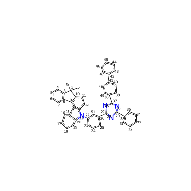 CC1(C)c2ccccc2-c2c1ccc1c2c2ccccc2n1-c1cccc(-c2nc(-c3ccccc3)nc(-c3ccc(-c4ccccc4)cc3)n2)c1